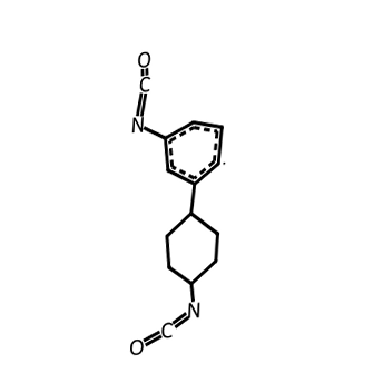 O=C=Nc1cc[c]c(C2CCC(N=C=O)CC2)c1